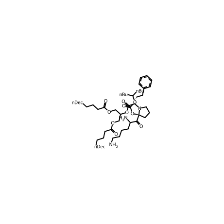 CCCCCCCCCCCCCC(=O)OCC(COC(=O)CCCCCCCCCCCCC)OC(=O)[C@H](CCc1ccccc1)N1CCC[C@]1(OC(=O)OC(CCCC)CCCC)C(=O)C(N)CCCCN